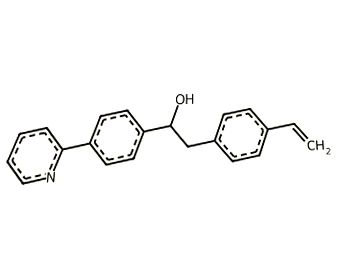 C=Cc1ccc(CC(O)c2ccc(-c3ccccn3)cc2)cc1